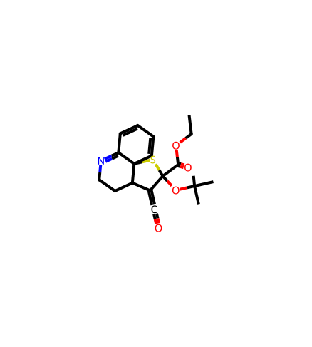 CCOC(=O)C1(OC(C)(C)C)SC23C=CC=CC2=NCCC3C1=C=O